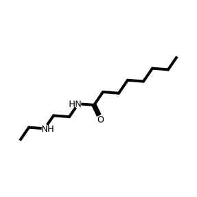 CCCCCCCC(=O)NCCNCC